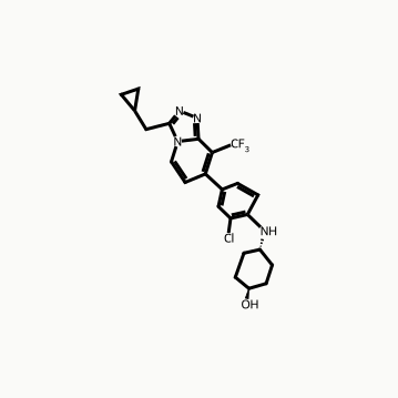 O[C@H]1CC[C@H](Nc2ccc(-c3ccn4c(CC5CC5)nnc4c3C(F)(F)F)cc2Cl)CC1